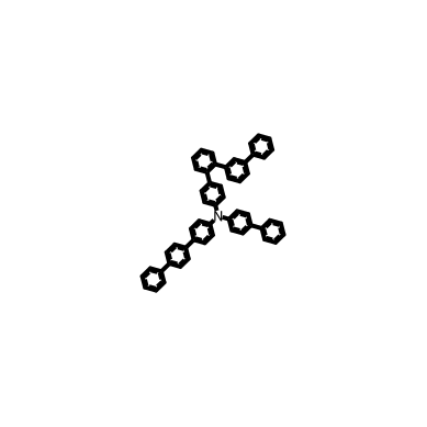 c1ccc(-c2ccc(-c3ccc(N(c4ccc(-c5ccccc5)cc4)c4ccc(-c5ccccc5-c5cccc(-c6ccccc6)c5)cc4)cc3)cc2)cc1